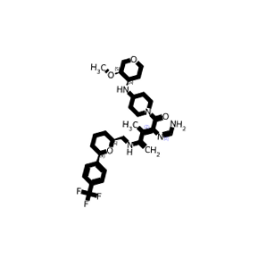 C=C(NC[C@@H]1CCC[C@H](c2ccc(C(F)(F)F)cc2)O1)/C(C)=C(\N=C/N)C(=O)N1CCC(N[C@H]2CCOC[C@H]2OC)CC1